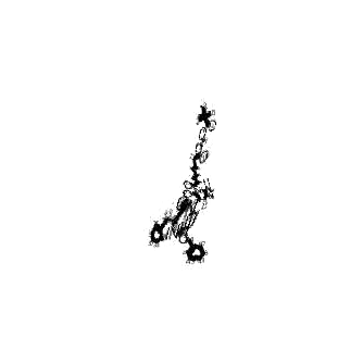 CC(C)(C)C(=O)OCOC(=O)CCCCCCC(=O)NC(=O)[C@H](Cc1c[nH]cn1)NC(=O)[C@H](Cc1ccccc1)NC(=O)OCc1ccccc1